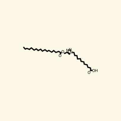 CCCCCCCCCCCCCCCCCC(=O)OCc1cn(CCCCCCCCCCCC(=O)O)nn1